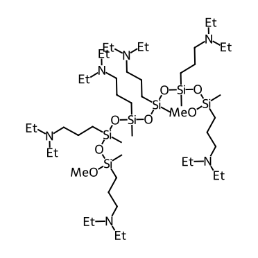 CCN(CC)CCC[Si](C)(OC)O[Si](C)(CCCN(CC)CC)O[Si](C)(CCCN(CC)CC)O[Si](C)(CCCN(CC)CC)O[Si](C)(CCCN(CC)CC)O[Si](C)(CCCN(CC)CC)OC